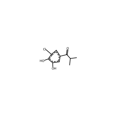 CC(C)C(=O)c1cc(O)c(O)c(Cl)c1